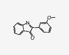 COc1cccc(C2=Nc3ccccc3C2=O)c1